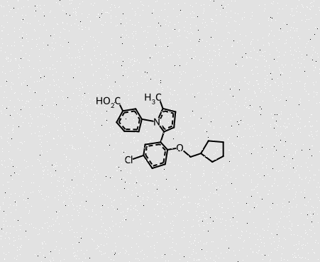 Cc1ccc(-c2cc(Cl)ccc2OCC2CCCC2)n1-c1cccc(C(=O)O)c1